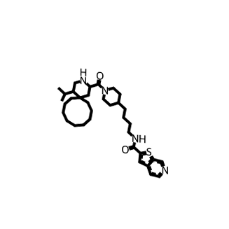 CC(C)C1CNC(C(=O)N2CCC(CCCCNC(=O)c3cc4ccncc4s3)CC2)CC12CCCCCCCCC2